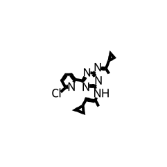 CC(=CC1CC1)Nc1nc(/N=C(\C)C2CC2)nc(-c2cccc(Cl)n2)n1